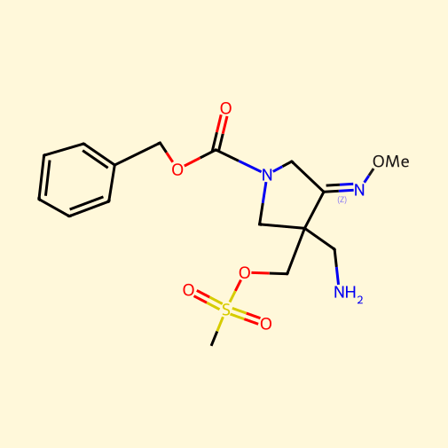 CO/N=C1\CN(C(=O)OCc2ccccc2)CC1(CN)COS(C)(=O)=O